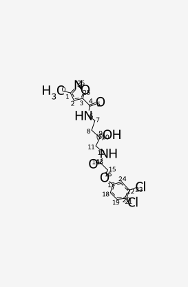 Cc1cc(C(=O)NCC[C@H](O)CNC(=O)COc2ccc(Cl)c(Cl)c2)on1